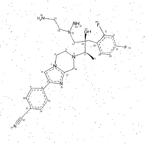 C[C@@H](N1CCn2cc(-c3ccc(C#N)cc3)nc2C1)[C@](O)(CN(N)CCN)c1ccc(F)cc1F